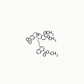 CCOC(=O)c1ccc(CCCC2c3ccc(OC)c(OC)c3CN3CCc4cc5c(cc4C23)OCO5)c2ccccc12